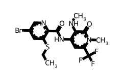 CCSc1cc(Br)cnc1C(=O)Nc1cc(C(F)(F)F)n(C)c(=O)c1NC